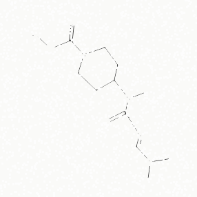 CN(C)C=NC(=O)N(S)C1CCN(C(=O)OC(C)(C)C)CC1